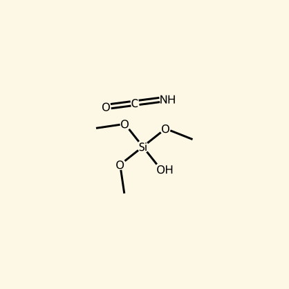 CO[Si](O)(OC)OC.N=C=O